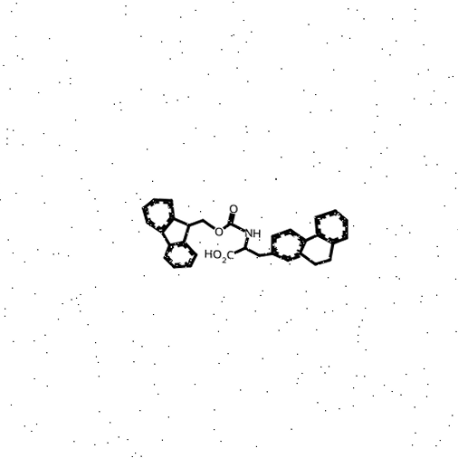 O=C(NC(Cc1ccc2c(c1)CCc1ccccc1-2)C(=O)O)OCC1c2ccccc2-c2ccccc21